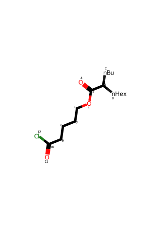 CCCCCCC(CCCC)C(=O)OCCCCC(=O)Cl